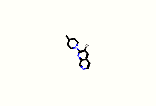 CC1CCN(c2nc3cnccc3cc2C#N)CC1